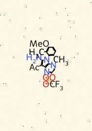 COc1ccc(C)c(-n2c(N)c(C(C)=O)c3nc(OS(=O)(=O)C(F)(F)F)cnc32)c1C